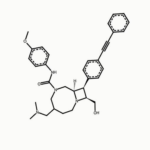 COc1ccc(NC(=O)N2CC(CN(C)C)CCN3[C@H](CO)[C@H](c4ccc(C#Cc5ccccc5)cc4)[C@@H]3C2)cc1